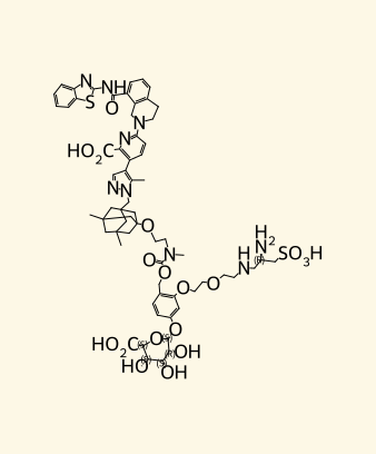 Cc1c(-c2ccc(N3CCc4cccc(C(=O)Nc5nc6ccccc6s5)c4C3)nc2C(=O)O)cnn1CC12CC3(C)CC(C)(C1)CC(OCCN(C)C(=O)OCc1ccc(O[C@@H]4O[C@H](C(=O)O)[C@@H](O)[C@H](O)[C@H]4O)cc1OCCOCCNC[C@@H](N)CS(=O)(=O)O)(C3)C2